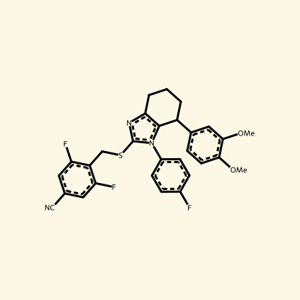 COc1ccc(C2CCCc3nc(SCc4c(F)cc(C#N)cc4F)n(-c4ccc(F)cc4)c32)cc1OC